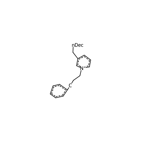 CCCCCCCCCCCc1ccc[n+](CCCc2ccccc2)c1